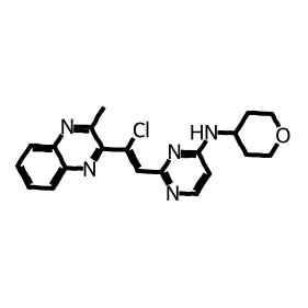 Cc1nc2ccccc2nc1C(Cl)=Cc1nccc(NC2CCOCC2)n1